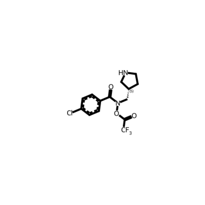 O=C(c1ccc(Cl)cc1)N(C[C@H]1CCNC1)OC(=O)C(F)(F)F